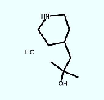 CC(C)(O)CC1CCNCC1.Cl